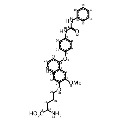 COc1cc2c(Oc3ccc(NC(=O)Nc4ccccc4)cc3)ccnc2cc1OCCC[C@@H](N)C(=O)O